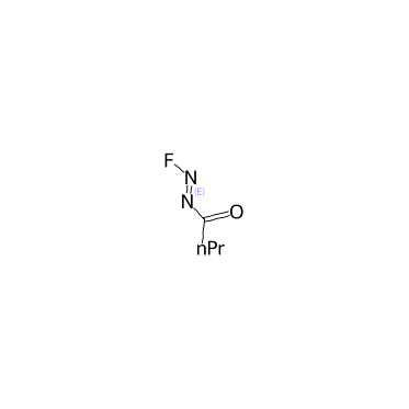 CCCC(=O)/N=N/F